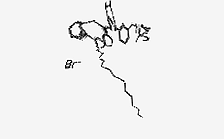 CCCCCCCCCCCCCCOc1ccccc1CC(=O)Nc1cccc(C[n+]2ccsc2C)c1.[Br-]